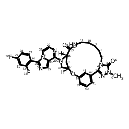 Cn1nc2n(c1=O)CCCCCNC(=O)[C@@H]1C[C@@H](CN1c1nccn3c(-c4ccc(F)cc4F)ncc13)Oc1cccc-2c1